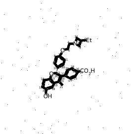 CCC1CN(CCOc2ccc([C@H]3Oc4ccc(O)cc4C(C)=C3c3ccc(C(=O)O)cc3)cc2)C1